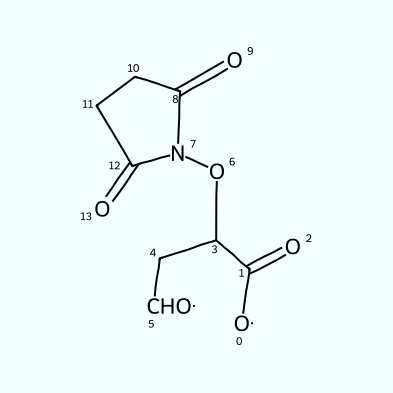 [O]C(=O)C(C[C]=O)ON1C(=O)CCC1=O